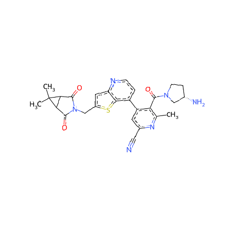 Cc1nc(C#N)cc(-c2ccnc3cc(CN4C(=O)C5C(C4=O)C5(C)C)sc23)c1C(=O)N1CC[C@H](N)C1